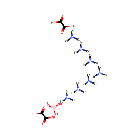 CCN(CC)CC.CCN(CC)CC.CCN(CC)CC.CCN(CC)CC.CCN(CC)CC.CCN(CC)CC.CCN(CC)CC.O=C(O)C(=O)O.O=C(O)C(=O)O.OB(O)O